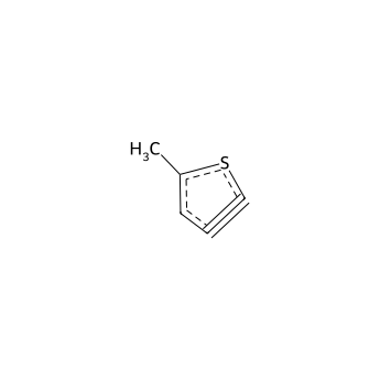 Cc1cc#cs1